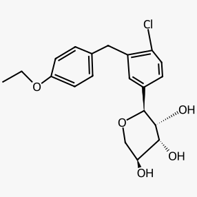 CCOc1ccc(Cc2cc([C@@H]3OC[C@H](O)[C@@H](O)[C@H]3O)ccc2Cl)cc1